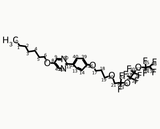 CCCCCCCOc1cnc(-c2ccc(OCCCOCC(F)(F)OC(F)(F)C(F)(F)OC(F)(F)C(F)F)cc2)nc1